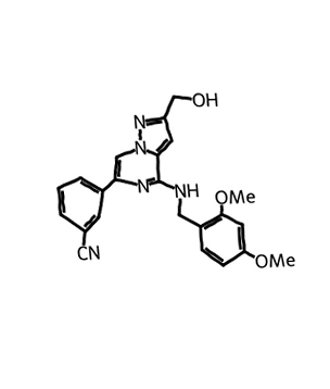 COc1ccc(CNc2nc(-c3cccc(C#N)c3)cn3nc(CO)cc23)c(OC)c1